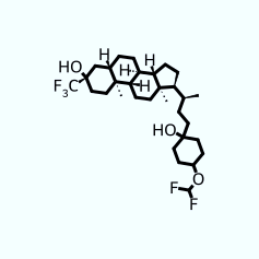 C[C@@H](CCC1(O)CCC(OC(F)F)CC1)[C@@H]1CC[C@H]2[C@@H]3CC[C@H]4C[C@](O)(C(F)(F)F)CC[C@]4(C)[C@H]3CC[C@@]21C